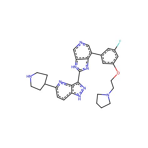 Fc1cc(OCCN2CCCC2)cc(-c2cncc3[nH]c(-c4n[nH]c5ccc(C6CCNCC6)nc45)nc23)c1